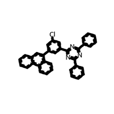 Clc1cc(-c2nc(-c3ccccc3)nc(-c3ccccc3)n2)cc(-c2cc3ccccc3c3ccccc23)c1